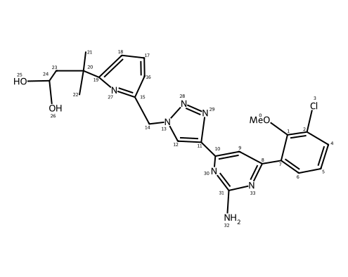 COc1c(Cl)cccc1-c1cc(-c2cn(Cc3cccc(C(C)(C)CC(O)O)n3)nn2)nc(N)n1